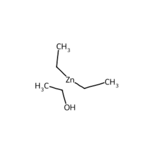 CCO.C[CH2][Zn][CH2]C